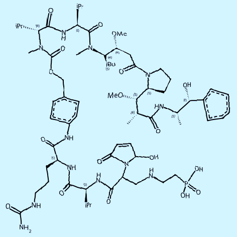 CC[C@H](C)[C@H]([C@@H](CC(=O)N1CCC[C@H]1[C@@H](OC)[C@@H](C)C(=O)N[C@@H](C)[C@H](O)c1ccccc1)OC)N(C)C(=O)[C@@H](NC(=O)[C@@H](C(C)C)N(C)C(=O)OCc1ccc(NC(=O)[C@H](CCCNC(N)=O)NC(=O)[C@@H](NC(=O)C(CNCCP(=O)(O)O)N2C(=O)C=CC2O)C(C)C)cc1)C(C)C